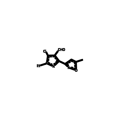 CCn1nc(-c2cc(C)on2)c(C=O)c1Cl